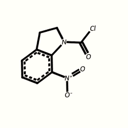 O=C(Cl)N1CCc2cccc([N+](=O)[O-])c21